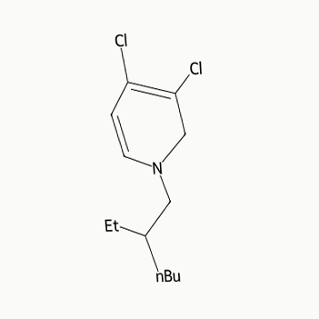 CCCCC(CC)CN1C=CC(Cl)=C(Cl)C1